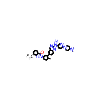 Cc1ccc(NC(=O)c2cccc(C(F)(F)F)c2)cc1-c1ccc2nc(Nc3ccc(N4CCC(N(C)C)CC4)nc3)ncc2c1